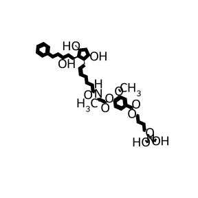 COc1cc(C(=O)OCCCCON(O)O)ccc1OC(=O)C(C)NC(=O)CCC/C=C\C[C@@H]1[C@@H](CC[C@@H](O)CCc2ccccc2)[C@H](O)C[C@@H]1O